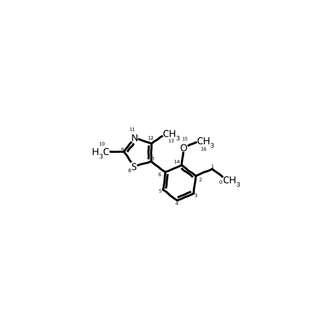 CCc1cccc(-c2sc(C)nc2C)c1OC